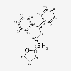 c1ccc(C(CO[SiH2]C2CCCO2)c2ccccc2)cc1